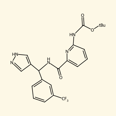 CC(C)(C)OC(=O)Nc1cccc(C(=O)NC(c2cn[nH]c2)c2cccc(C(F)(F)F)c2)n1